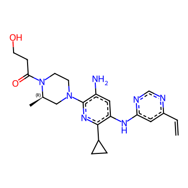 C=Cc1cc(Nc2cc(N)c(N3CCN(C(=O)CCO)[C@H](C)C3)nc2C2CC2)ncn1